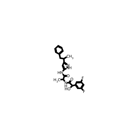 CC(NC(=O)C(O)c1cc(F)cc(F)c1)C(=O)Nc1cc(C(C)Cc2ccccc2)n[nH]1